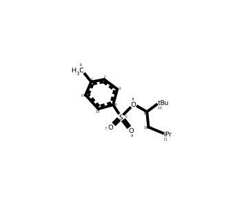 Cc1ccc(S(=O)(=O)OC(CC(C)C)C(C)(C)C)cc1